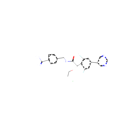 CCO[C@H](C(=O)NCc1ccc(C(=N)N)cc1)c1c(F)cc(-c2cncnc2)cc1F.Cl